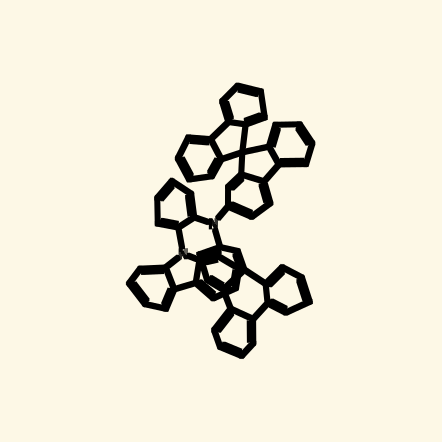 c1ccc2c(c1)-c1ccccc1C21c2ccccc2-c2ccc(N(c3ccc4c5ccccc5c5ccccc5c4c3)c3ccccc3-n3c4ccccc4c4ccccc43)cc21